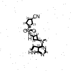 CN(c1ncnc2[nH]ccc12)C1CC(NS(=O)(=O)N2CC[C@H](C#N)C2)C1